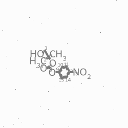 CC(C)(CO)OC(=O)Oc1ccc([N+](=O)[O-])cc1